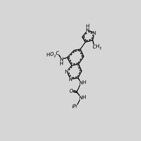 Cc1n[nH]cc1-c1cc(NC(=O)O)c2nnc(NC(=O)NC(C)C)cc2c1